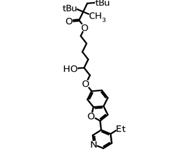 CCc1ccncc1-c1cc2ccc(OCC(O)CCCCOC(=O)C(C)(CC(C)(C)C)C(C)(C)C)cc2o1